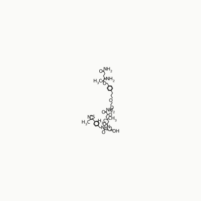 Cc1ncsc1-c1ccc(CNC(=O)[C@@H]2C[C@@H](O)CN2C(=O)CC(C)(C)CC(OCCOCCOCCCc2ccc(CO[C@H](C)[C@@H](N)CCC(N)=O)cc2)C(N)=O)cc1